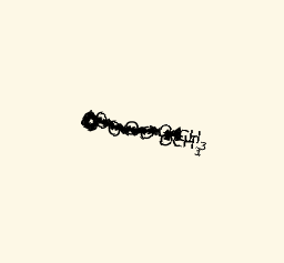 CC1(C)CC1C(=O)OCCOCCOCCOCCOc1ccccc1